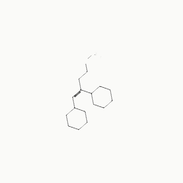 [SiH3]OCCC(=CC1CCCCC1)C1CCCCC1